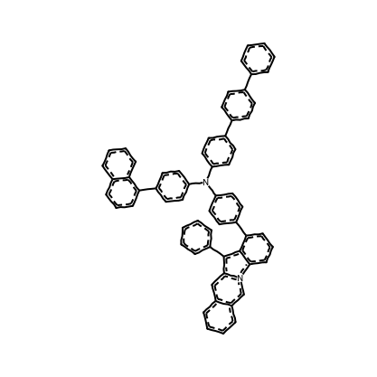 c1ccc(-c2ccc(-c3ccc(N(c4ccc(-c5cccc6ccccc56)cc4)c4ccc(-c5cccc6c5c(-c5ccccc5)c5cc7ccccc7cn56)cc4)cc3)cc2)cc1